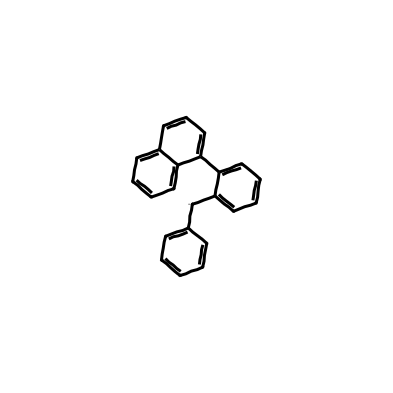 [CH](c1ccccc1)c1ccccc1-c1cccc2ccccc12